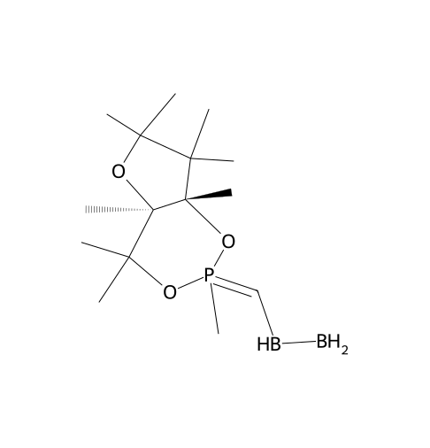 BBC=P1(C)OC(C)(C)[C@@]2(C)OC(C)(C)C(C)(C)[C@]2(C)O1